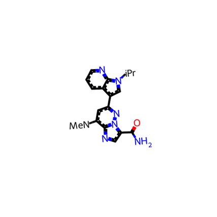 CNc1cc(-c2cn(C(C)C)c3ncccc23)nn2c(C(N)=O)cnc12